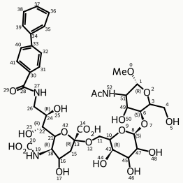 CO[C@@H]1OC(CO)[C@@H](O[C@@H]2OC(CO[C@]3(C(=O)O)CC(O)[C@@H](NC(=O)O)C([C@H](O)[C@H](O)CNC(=O)c4ccc(-c5ccccc5)cc4)O3)[C@H](O)C(O)C2O)C(O)C1NC(C)=O